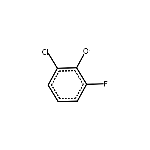 [O]c1c(F)cccc1Cl